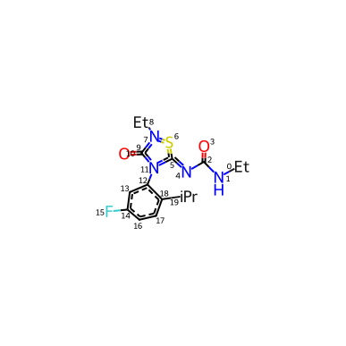 CCNC(=O)/N=c1\sn(CC)c(=O)n1-c1cc(F)ccc1C(C)C